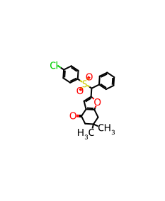 CC1(C)CC(=O)c2cc(C(c3ccccc3)S(=O)(=O)c3ccc(Cl)cc3)oc2C1